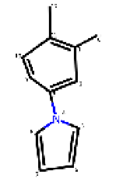 [CH2]c1cc(-n2cccc2)ccc1C